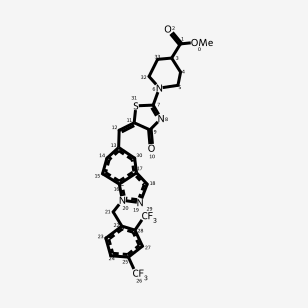 COC(=O)C1CCN(C2=NC(=O)C(=Cc3ccc4c(cnn4Cc4ccc(C(F)(F)F)cc4C(F)(F)F)c3)S2)CC1